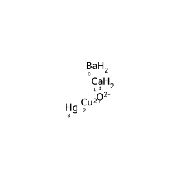 [BaH2].[CaH2].[Cu+2].[Hg].[O-2]